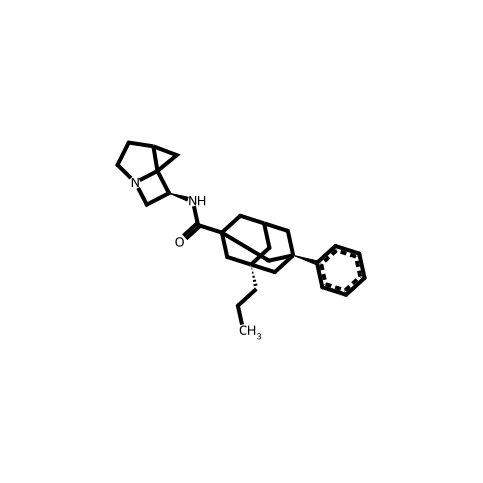 CCC[C@@]12CC3CC(C(=O)N[C@H]4CN5CCC6CC645)(C1)C[C@](c1ccccc1)(C3)C2